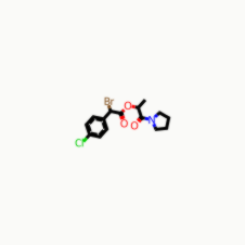 CC(OC(=O)C(Br)c1ccc(Cl)cc1)C(=O)N1CCCC1